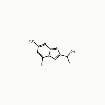 CC(O)c1nc2nc(C(F)(F)F)cc([S])n2n1